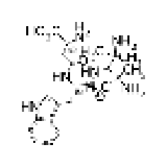 CC(C)(N)C(NC(=O)[C@H](Cc1c[nH]c2ccccc12)NC(=O)C[C@H](N)C(=O)O)C(C)(C)N